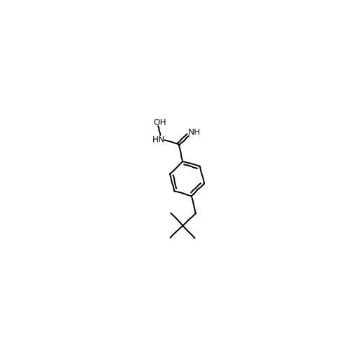 CC(C)(C)Cc1ccc(C(=N)NO)cc1